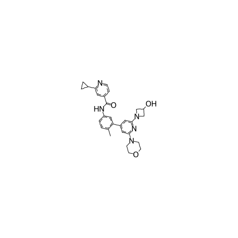 Cc1ccc(NC(=O)c2ccnc(C3CC3)c2)cc1-c1cc(N2CCOCC2)nc(N2CC(O)C2)c1